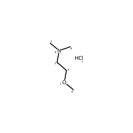 COCCN(C)C.Cl